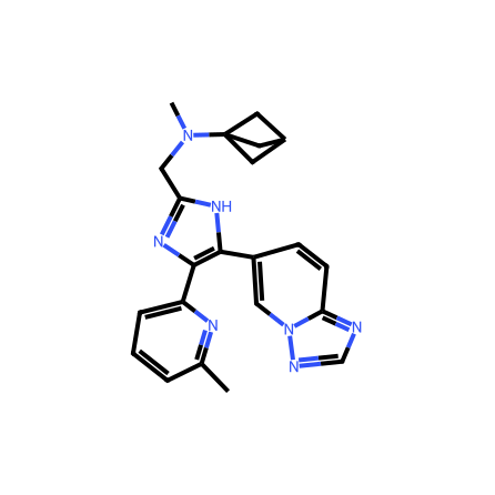 Cc1cccc(-c2nc(CN(C)C34CC(C3)C4)[nH]c2-c2ccc3ncnn3c2)n1